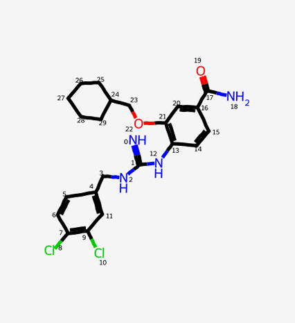 N=C(NCc1ccc(Cl)c(Cl)c1)Nc1ccc(C(N)=O)cc1OCC1CCCCC1